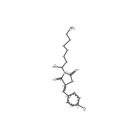 NCCCCCCC(O)N1C(=O)C/C(=C\c2ccc(Cl)cc2)C1=O